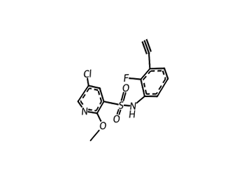 C#Cc1cccc(NS(=O)(=O)c2cc(Cl)cnc2OC)c1F